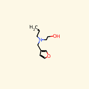 C=CCN(CCO)Cc1ccoc1